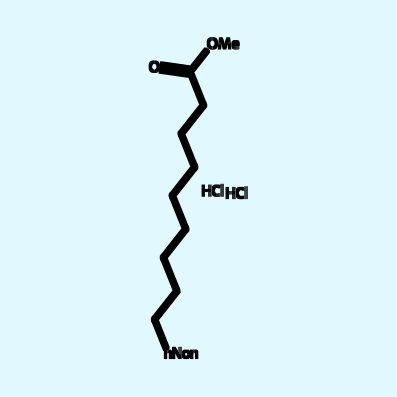 CCCCCCCCCCCCCCCCCC(=O)OC.Cl.Cl